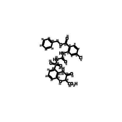 O=C(Nc1cc(Cl)ccc1C(=O)OCc1ccccc1)NS(=O)(=O)c1cccc2c1NC(=O)C(C(=O)O)O2